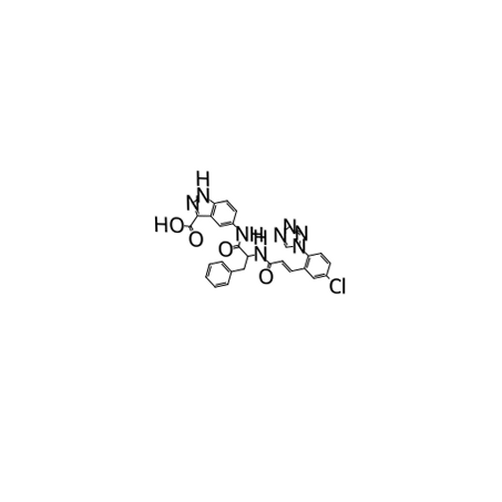 O=C(C=Cc1cc(Cl)ccc1-n1cnnn1)NC(Cc1ccccc1)C(=O)Nc1ccc2[nH]nc(C(=O)O)c2c1